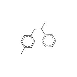 CC(=Cc1ccc(C)cc1)c1ccccc1